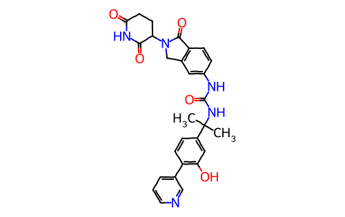 CC(C)(NC(=O)Nc1ccc2c(c1)CN(C1CCC(=O)NC1=O)C2=O)c1ccc(-c2cccnc2)c(O)c1